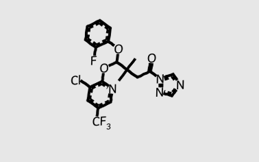 CC(C)(CC(=O)n1cncn1)C(Oc1ccccc1F)Oc1ncc(C(F)(F)F)cc1Cl